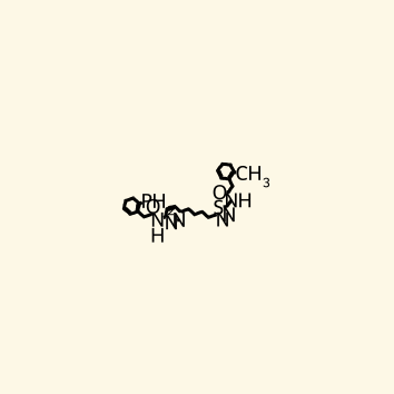 CC1=C(CC(=O)Nc2nnc(CCCCc3ccc(NC(=O)CC4=C(P)CCC=C4)nn3)s2)C=CCC1